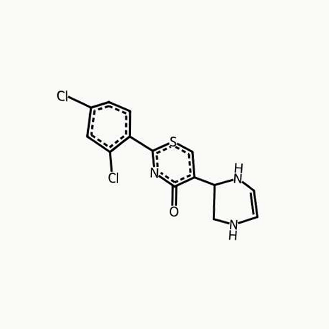 O=c1nc(-c2ccc(Cl)cc2Cl)scc1C1CNC=CN1